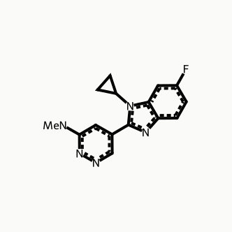 CNc1cc(-c2nc3ccc(F)cc3n2C2CC2)cnn1